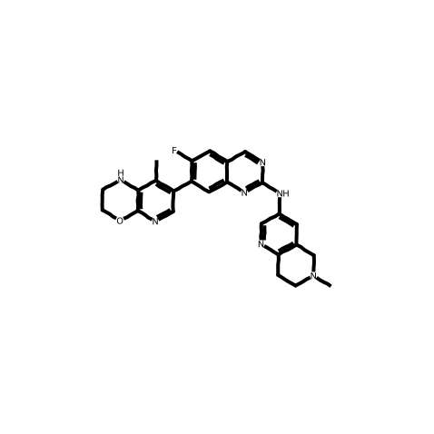 Cc1c(-c2cc3nc(Nc4cnc5c(c4)CN(C)CC5)ncc3cc2F)cnc2c1NCCO2